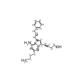 CCCCc1nc(N)c2c(n1)c(C#CCCO)cn2COCc1ccccc1